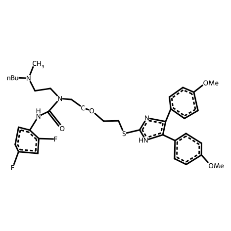 CCCCN(C)CCN(CCOCCSc1nc(-c2ccc(OC)cc2)c(-c2ccc(OC)cc2)[nH]1)C(=O)Nc1ccc(F)cc1F